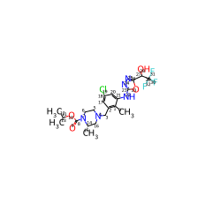 Cc1c(CN2CCN(C(=O)OC(C)C)[C@@H](C)C2)cc(Cl)cc1Nc1nnc(C(O)C(F)(F)F)o1